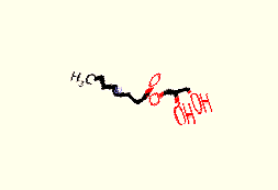 CCC/C=C/CCC(=O)OCC(O)CO